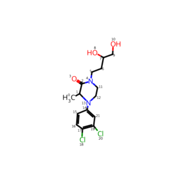 CC1C(=O)N(CCC(O)CO)CCN1c1ccc(Cl)c(Cl)c1